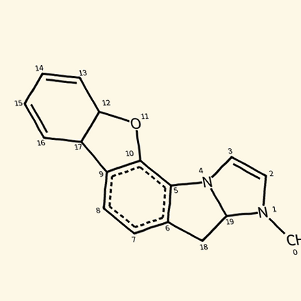 CN1C=CN2c3c(ccc4c3OC3C=CC=CC43)CC12